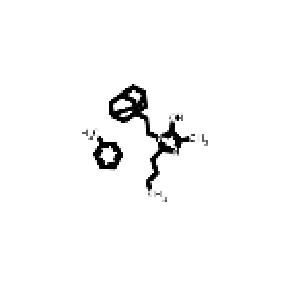 CCCCc1nc(C)c(O)n1CCC12CC3CC(CC(C3)C1)C2.Cc1ccccc1